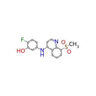 CS(=O)(=O)c1cccc2c(Nc3ccc(F)c(O)c3)ccnc12